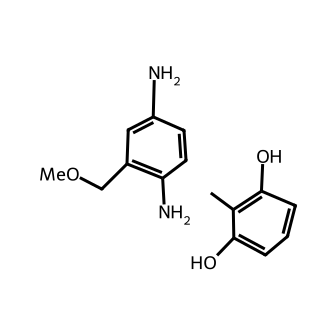 COCc1cc(N)ccc1N.Cc1c(O)cccc1O